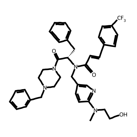 CN(CCO)c1ccc(CN(C(=O)C=Cc2ccc(C(F)(F)F)cc2)[C@@H](Cc2ccccc2)C(=O)N2CCN(Cc3ccccc3)CC2)cn1